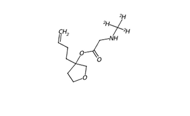 [2H]C([2H])([2H])NCC(=O)OC1(CCC=C)CCOC1